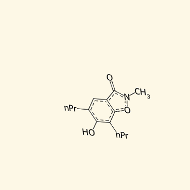 CCCc1cc2c(=O)n(C)oc2c(CCC)c1O